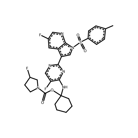 Cc1ccc(S(=O)(=O)n2cc(-c3ncc(F)c(NC4(OC(=O)N5CCC(F)C5)CCCCC4)n3)c3cc(F)cnc32)cc1